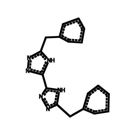 c1ccc(Cc2nnc(-c3nnc(Cc4ccccc4)[nH]3)[nH]2)cc1